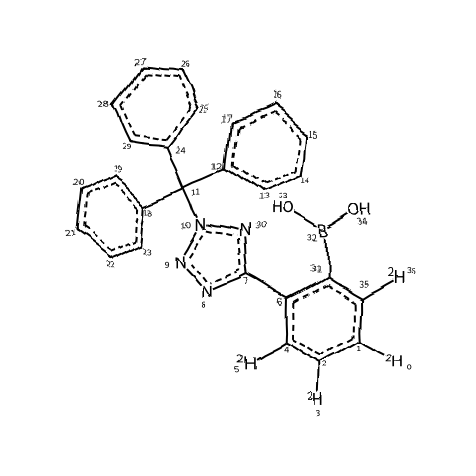 [2H]c1c([2H])c([2H])c(-c2nnn(C(c3ccccc3)(c3ccccc3)c3ccccc3)n2)c(B(O)O)c1[2H]